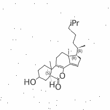 CC(C)CCC[C@@H](C)[C@H]1CC=C2C3=C(CCC21C)C1(C)CCC(O)C[C@@H]1C(=O)O3